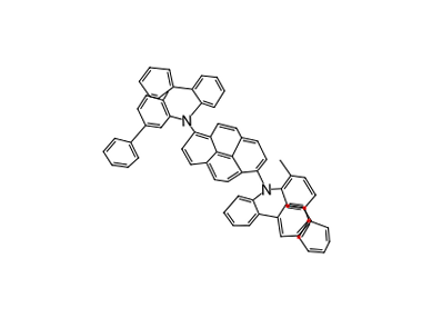 Cc1ccc(-c2ccccc2)cc1N(c1ccccc1-c1ccccc1)c1ccc2ccc3c(N(c4cc(-c5ccccc5)ccc4C)c4ccccc4-c4ccccc4)ccc4ccc1c2c43